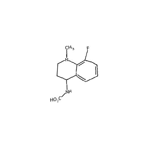 CN1CCC(NC(=O)O)c2cccc(F)c21